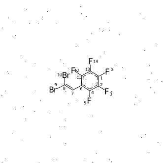 Fc1c(F)c(F)c(C=C(Br)Br)c(F)c1F